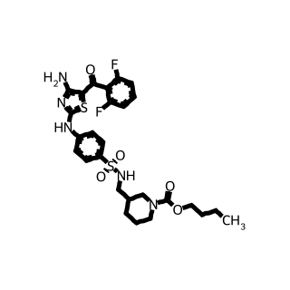 CCCCOC(=O)N1CCCC(CNS(=O)(=O)c2ccc(Nc3nc(N)c(C(=O)c4c(F)cccc4F)s3)cc2)C1